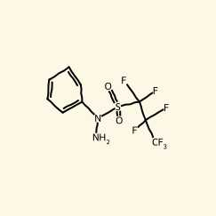 NN(c1ccccc1)S(=O)(=O)C(F)(F)C(F)(F)C(F)(F)F